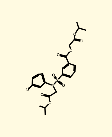 CC(C)OC(=O)COC(=O)c1cccc(S(=O)(=O)N(CC(=O)OC(C)C)c2cccc(Cl)c2)c1